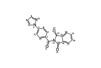 O=C(c1ccc(-n2cccn2)cc1)N1C(=O)c2ccccc2C1=O